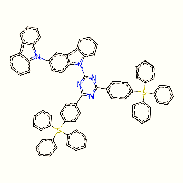 c1ccc(S(c2ccccc2)(c2ccccc2)c2ccc(-c3nc(-c4ccc(S(c5ccccc5)(c5ccccc5)c5ccccc5)cc4)nc(-n4c5ccccc5c5cc(-n6c7ccccc7c7ccccc76)ccc54)n3)cc2)cc1